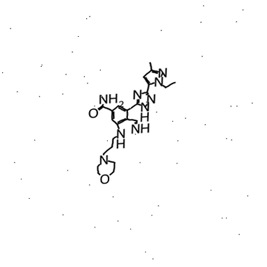 CCn1nc(C)cc1-c1n[nH]c(-c2cc(C(N)=O)cc(NCCCN3CCOCC3)c2C=N)n1